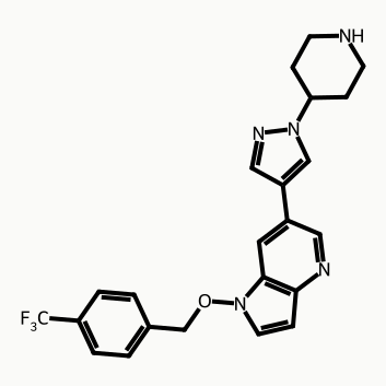 FC(F)(F)c1ccc(COn2ccc3ncc(-c4cnn(C5CCNCC5)c4)cc32)cc1